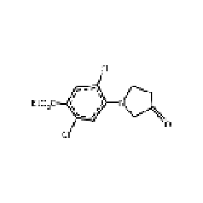 CCOC(=O)c1cc(Cl)c(N2CCC(=O)C2)cc1Cl